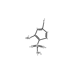 CCCCc1cc(F)ccc1S(N)(=O)=O